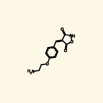 NCCOc1ccc(C=C2C(=O)NOC2=O)cc1